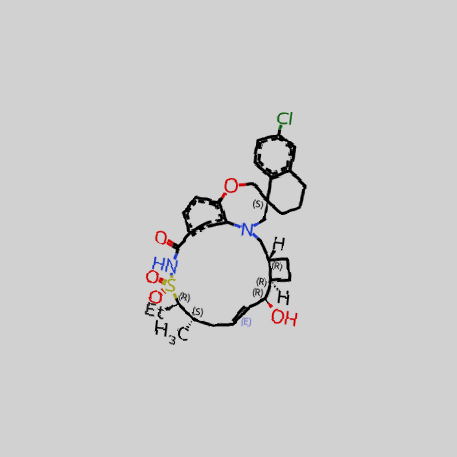 CC[C@@H]1[C@@H](C)C/C=C/[C@H](O)[C@@H]2CC[C@H]2CN2C[C@@]3(CCCc4cc(Cl)ccc43)COc3ccc(cc32)C(=O)NS1(=O)=O